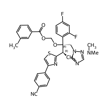 CNC.Cc1cccc(C(=O)OCO[C@@](Cn2cncn2)(c2ccc(F)cc2F)[C@@H](C)c2nc(-c3ccc(C#N)cc3)cs2)c1